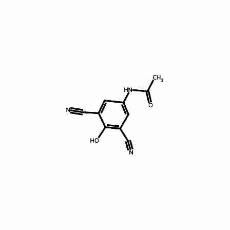 CC(=O)Nc1cc(C#N)c(O)c(C#N)c1